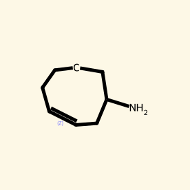 NC1C/C=C\CCCC1